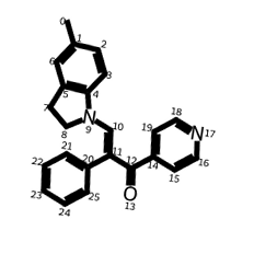 Cc1ccc2c(c1)CCN2/C=C(/C(=O)c1ccncc1)c1ccccc1